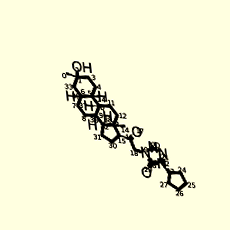 C[C@@]1(O)CC[C@H]2[C@H](CC[C@@H]3[C@@H]2CC[C@]2(C)[C@@H](C(=O)Cn4nnn(C5CCCC5)c4=O)CC[C@@H]32)C1